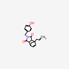 C=CCC12C=CC(C1)C1C(=O)N(Cc3ccc(O)cc3)C(=O)C12